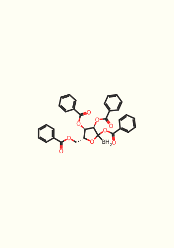 BC1(OC(=O)c2ccccc2)O[C@H](COC(=O)c2ccccc2)[C@@H](OC(=O)c2ccccc2)[C@H]1OC(=O)c1ccccc1